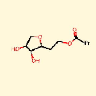 CC(C)C(=O)OCCC1OC[C@H](O)[C@@H]1O